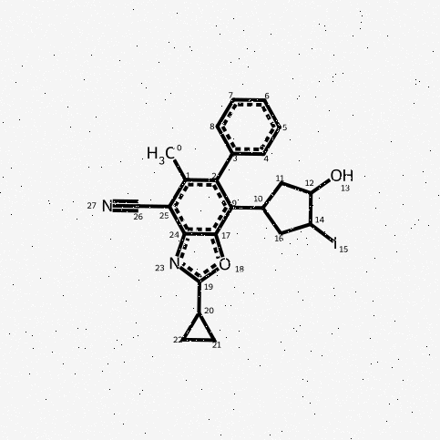 Cc1c(-c2ccccc2)c(C2CC(O)C(I)C2)c2oc(C3CC3)nc2c1C#N